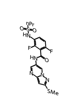 CCCS(=O)(=O)Nc1ccc(F)c(C(=O)Nc2cnc3cc(SC)nn3c2)c1F